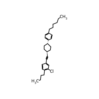 CCCCCCc1ccc([C@H]2CC[C@H](C#Cc3ccc(CCCC)c(Cl)c3)CC2)cc1